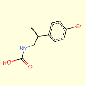 CC(CNC(=O)O)c1ccc(Br)cc1